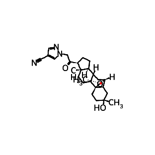 C[C@H]1O[C@@H]2C[C@@H]3C(CC[C@]4(C)[C@@H](C(=O)Cn5cc(C#N)cn5)CC[C@@H]34)[C@]13CC[C@@](C)(O)CC23